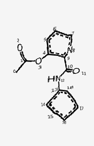 CC(=O)Oc1cccnc1C(=O)Nc1ccccc1